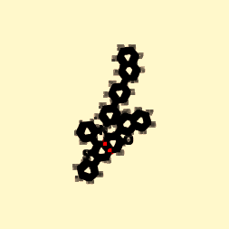 c1ccc(N(c2ccc(-c3ccc(-c4ccc5ccccc5c4)cc3)cc2)c2cccc3oc4c5ccccc5ccc4c23)c(-c2cccc3c2sc2ccccc23)c1